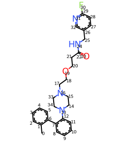 Cc1ccccc1-c1ccccc1N1CCN(CCOCCC(=O)NCc2ccc(F)nc2)CC1